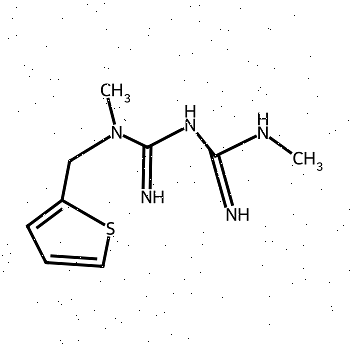 CNC(=N)NC(=N)N(C)Cc1cccs1